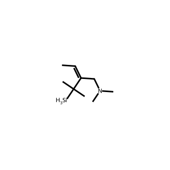 CC=C(CN(C)C)C(C)(C)[SiH3]